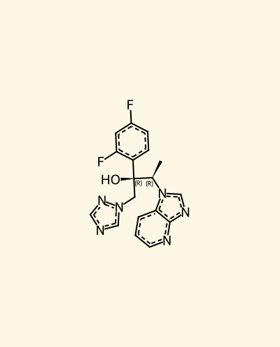 C[C@@H](n1cnc2ncccc21)[C@](O)(Cn1cncn1)c1ccc(F)cc1F